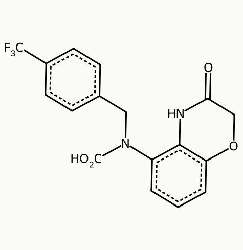 O=C1COc2cccc(N(Cc3ccc(C(F)(F)F)cc3)C(=O)O)c2N1